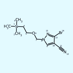 C[Si](C)(C)CCOCn1cc(C#N)c(Br)n1